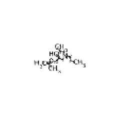 CCCN(CCC)CC(O)COC(C)C